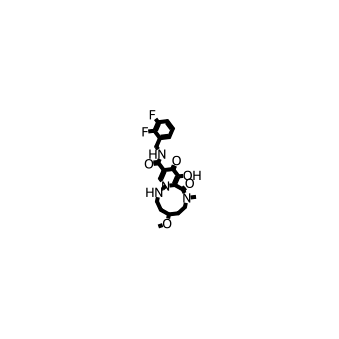 COC1CCNn2cc(C(=O)NCc3cccc(F)c3F)c(=O)c(O)c2C(=O)N(C)CC1